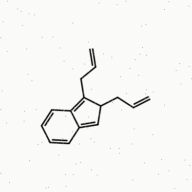 C=CCC1=c2ccccc2=CC1CC=C